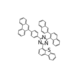 c1ccc2cc(-c3ccc4ccccc4c3-c3nc(-c4ccc(-c5cc6ccccc6c6ccccc56)cc4)nc(-c4cccc5c4sc4ccccc45)n3)ccc2c1